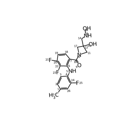 Cc1ccc(Nc2c(C(=O)N3CC(O)(CNO)C3)ccc(F)c2F)c(F)c1